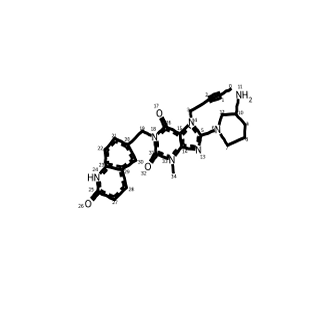 CC#CCn1c(N2CCCC(N)C2)nc2c1c(=O)n(Cc1ccc3[nH]c(=O)ccc3c1)c(=O)n2C